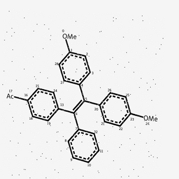 COc1ccc(C(=C(c2ccccc2)c2ccc(C(C)=O)cc2)c2ccc(OC)cc2)cc1